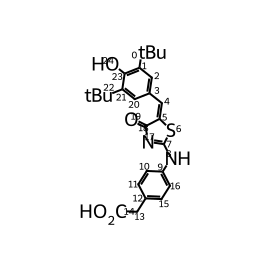 CC(C)(C)c1cc(C=C2SC(Nc3ccc(CC(=O)O)cc3)=NC2=O)cc(C(C)(C)C)c1O